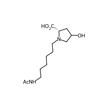 CC(=O)NCCCCCCN1CC(O)C[C@H]1C(=O)O